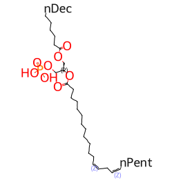 CCCCC/C=C\C/C=C\CCCCCCCCCCCC(=O)O[C@H](COC(=O)CCCCCCCCCCCCCCC)COP(=O)(O)O